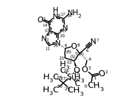 CC(=O)OC[C@@]1(C#N)O[C@@H](n2cnc3c(=O)[nH]c(N)nc32)C[C@@H]1O[Si](C)(C)C(C)(C)C